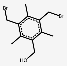 Cc1c(CO)c(C)c(CBr)c(C)c1CBr